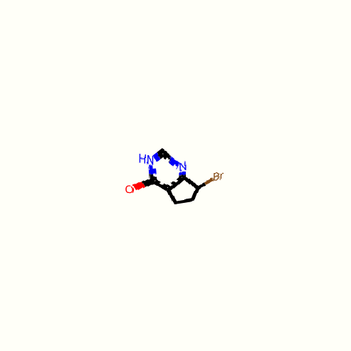 O=c1[nH]cnc2c1CCC2Br